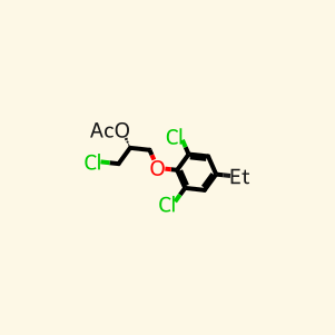 CCc1cc(Cl)c(OC[C@H](CCl)OC(C)=O)c(Cl)c1